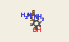 NP(N)(=S)Sc1cccc(O)c1